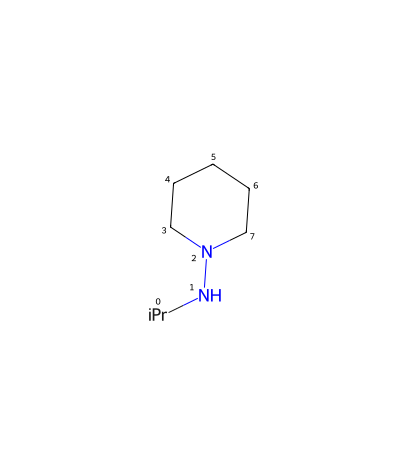 CC(C)NN1CCCCC1